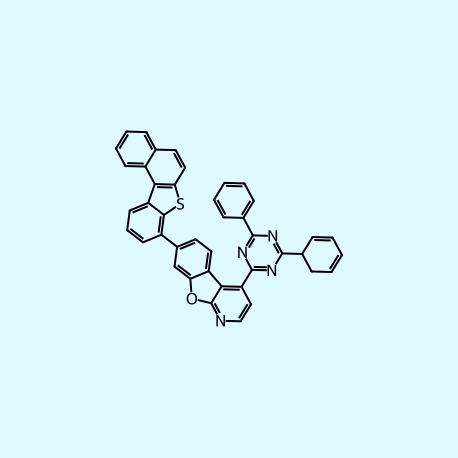 C1=CCC(c2nc(-c3ccccc3)nc(-c3ccnc4oc5cc(-c6cccc7c6sc6ccc8ccccc8c67)ccc5c34)n2)C=C1